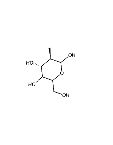 C[C@H]1C(O)OC(CO)C(O)[C@@H]1O